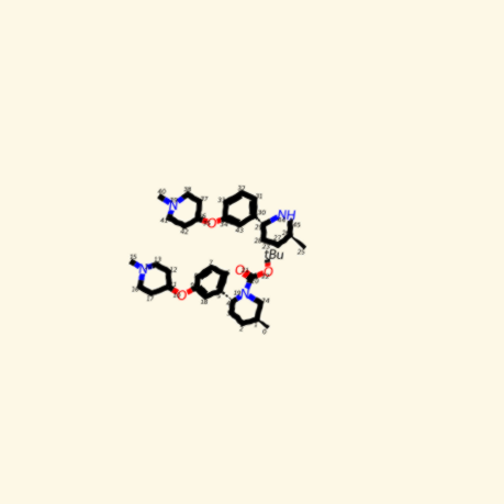 C[C@H]1CC[C@H](c2cccc(OC3CCN(C)CC3)c2)N(C(=O)OC(C)(C)C)C1.C[C@H]1CC[C@H](c2cccc(OC3CCN(C)CC3)c2)NC1